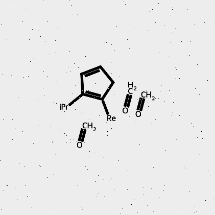 C=O.C=O.C=O.CC(C)C1=[C]([Re])CC=C1